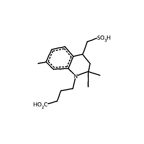 Cc1ccc2c(c1)N(CCCC(=O)O)C(C)(C)CC2CS(=O)(=O)O